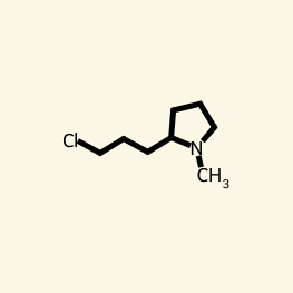 CN1CCCC1CCCCl